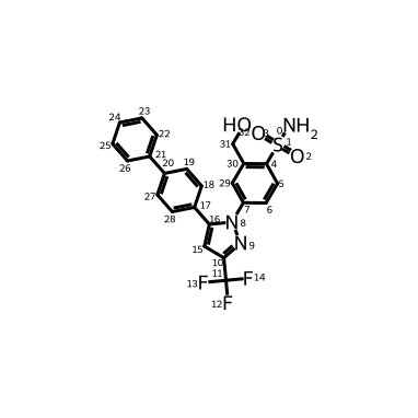 NS(=O)(=O)c1ccc(-n2nc(C(F)(F)F)cc2-c2ccc(-c3ccccc3)cc2)cc1CO